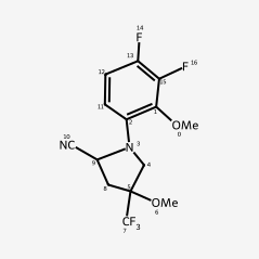 COc1c(N2CC(OC)(C(F)(F)F)CC2C#N)ccc(F)c1F